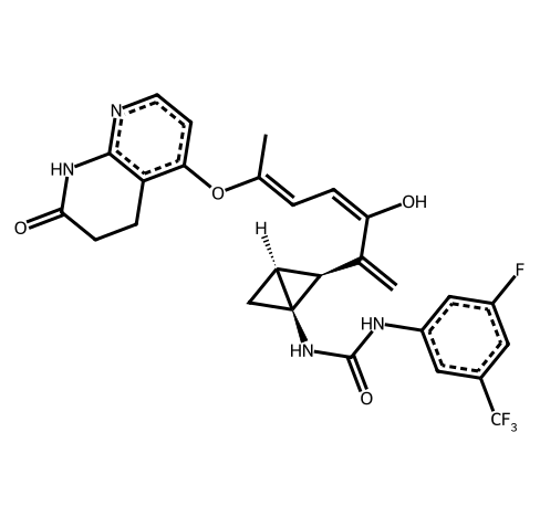 C=C(/C(O)=C\C=C(/C)Oc1ccnc2c1CCC(=O)N2)[C@@H]1[C@@H]2C[C@@]12NC(=O)Nc1cc(F)cc(C(F)(F)F)c1